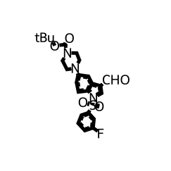 CC(C)(C)OC(=O)N1CCN(c2ccc3c(c2)c(C=O)cn3S(=O)(=O)c2cccc(F)c2)CC1